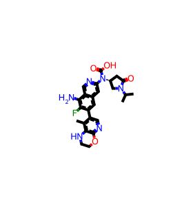 Cc1c(-c2cc3cc(N(C(=O)O)[C@@H]4CC(=O)N(C(C)C)C4)ncc3c(N)c2F)cnc2c1NCCO2